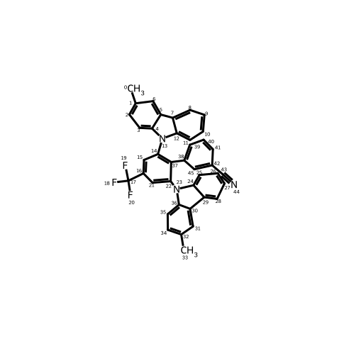 Cc1ccc2c(c1)c1ccccc1n2-c1cc(C(F)(F)F)cc(-n2c3ccccc3c3cc(C)ccc32)c1-c1cccc(C#N)c1